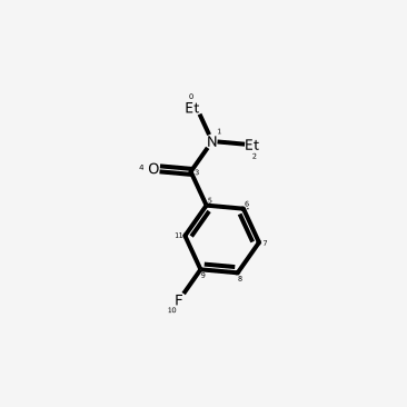 CCN(CC)C(=O)c1[c]ccc(F)c1